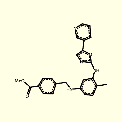 COC(=O)c1ccc(CNc2ccc(C)c(Nc3ncc(-c4cccnc4)o3)c2)cc1